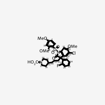 COc1ccc(S(=O)(=O)N2C(=O)C(CCCC3CCN(C(=O)O)CC3)(c3ccccc3F)c3cc(Cl)c(OC)cc32)c(OC)c1